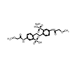 COCC(=O)Nc1ccc(CCc2ccc(NC(=O)COC)cc2S(=O)(=O)O)c(S(=O)(=O)O)c1.[NaH]